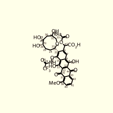 CCCCC(=O)OC(C(=O)O)c1cc2c(O)c3c(c(O)c2c(ONC(=O)C(F)(F)F)c1[C@@H]1CC[C@H](O)[C@H](O)C[C@@H](O)CO1)C(=O)c1c(OC)cccc1C3=O